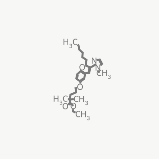 CCCCCCC1Oc2ccc(OCCCC(C)(C)C(=O)OCC)cc2C=C1c1nccn1C